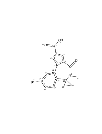 CN1C(=O)c2cc(C(=O)O)cn2-c2cc(Br)ccc2C12CC2